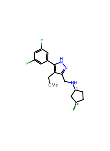 COCc1c(CN[C@H]2CC[C@@H](F)C2)n[nH]c1-c1cc(F)cc(F)c1